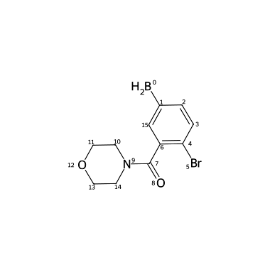 Bc1ccc(Br)c(C(=O)N2CCOCC2)c1